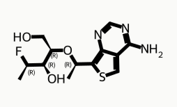 C[C@@H](O[C@H](CO)[C@@H](O)[C@@H](C)F)c1scc2c(N)ncnc12